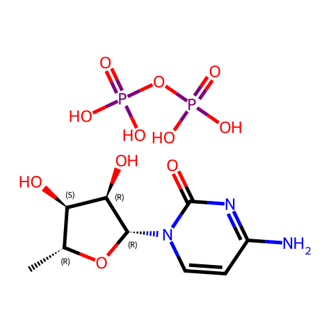 C[C@H]1O[C@@H](n2ccc(N)nc2=O)[C@H](O)[C@@H]1O.O=P(O)(O)OP(=O)(O)O